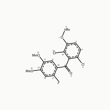 CCCCOc1ccc(Cl)c(C(=O)c2cc(OC)c(OC)cc2C)c1Cl